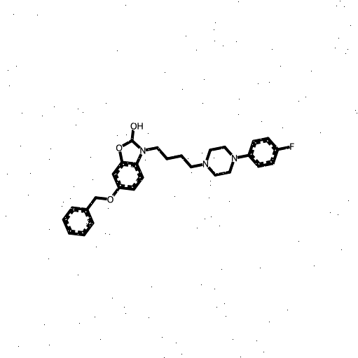 OC1Oc2cc(OCc3ccccc3)ccc2N1CCCCN1CCN(c2ccc(F)cc2)CC1